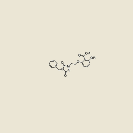 O=C(O)c1c(O)cccc1OCCn1sc(=O)n(Cc2ccccc2)c1=O